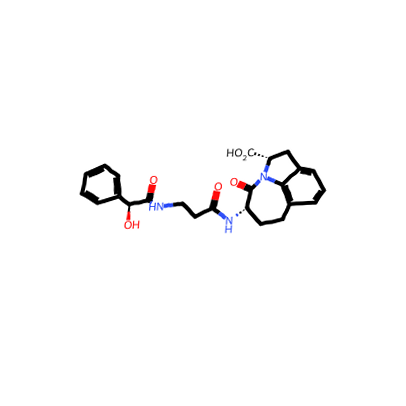 O=C(CCNC(=O)[C@@H](O)c1ccccc1)N[C@H]1CCc2cccc3c2N(C1=O)[C@H](C(=O)O)C3